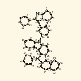 c1ccc(-c2nc3cccc4c5ccc(-n6c7ccccc7c7c6ccc6c8c9ccccc9ccc8n(-c8ccccc8)c67)cc5c2n34)cc1